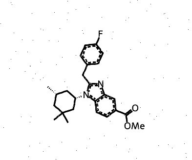 COC(=O)c1ccc2c(c1)nc(Cc1ccc(F)cc1)n2[C@H]1C[C@@H](C)CC(C)(C)C1